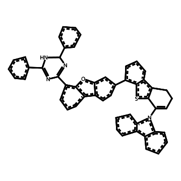 C1=C(n2c3ccccc3c3ccccc32)c2sc3c(-c4ccc5c(c4)oc4c(C6=NC(c7ccccc7)NC(c7ccccc7)=N6)cccc45)cccc3c2CC1